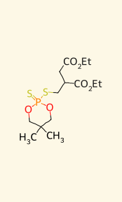 CCOC(=O)CC(CSP1(=S)OCC(C)(C)CO1)C(=O)OCC